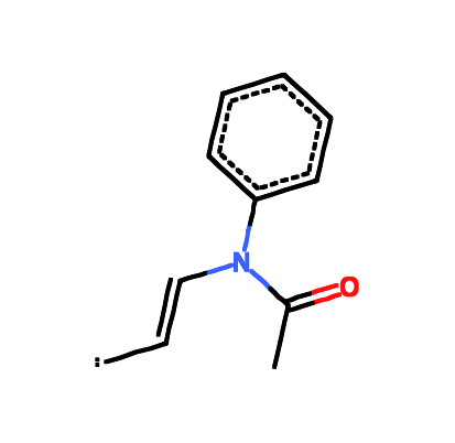 [CH]C=CN(C(C)=O)c1ccccc1